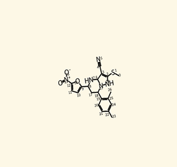 CSC1=C(C#N)C2NC(c3ccc([N+](=O)[O-])o3)CC(c3ccc(C)cc3C)N2N1